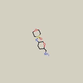 NCC1CCC(N=S2(=O)CCOCC2)CO1